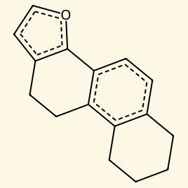 c1cc2c(o1)-c1ccc3c(c1CC2)CCCC3